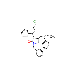 CC[C@@H](CC1CN(Cc2ccccc2)C(=O)C1C(CCCCl)c1ccccc1)c1ccccc1